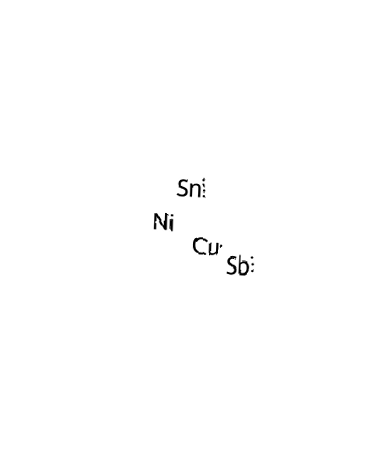 [Cu].[Ni].[Sb].[Sn]